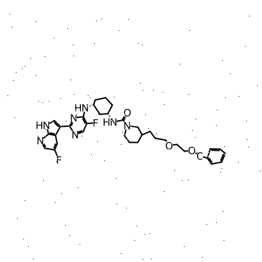 O=C(N[C@H]1CCC[C@@H](Nc2nc(-c3c[nH]c4ncc(F)cc34)ncc2F)C1)N1CCCC(CCCOCCOCc2ccccc2)C1